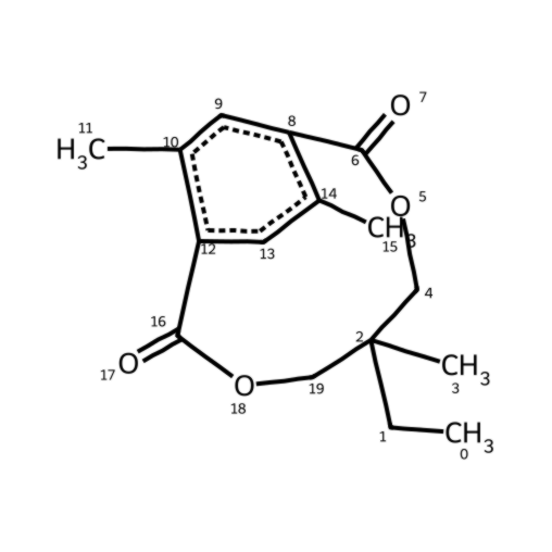 CCC1(C)COC(=O)c2cc(C)c(cc2C)C(=O)OC1